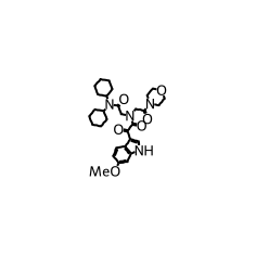 COc1ccc2c(C(=O)C(=O)N(CC(=O)N3CCOCC3)CC(=O)N(C3CCCCC3)C3CCCCC3)c[nH]c2c1